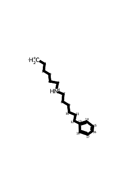 [CH2]CCCCCNCCCCCCc1ccccc1